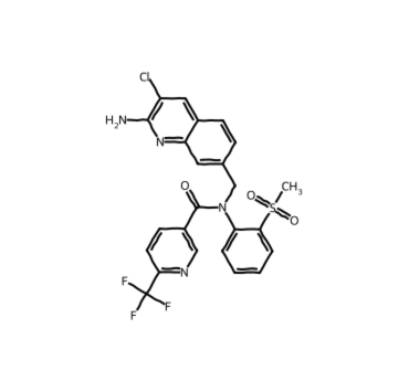 CS(=O)(=O)c1ccccc1N(Cc1ccc2cc(Cl)c(N)nc2c1)C(=O)c1ccc(C(F)(F)F)nc1